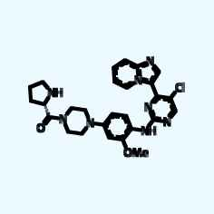 COc1cc(N2CCN(C(=O)[C@@H]3CCCN3)CC2)ccc1Nc1ncc(Cl)c(-c2cnc3ccccn23)n1